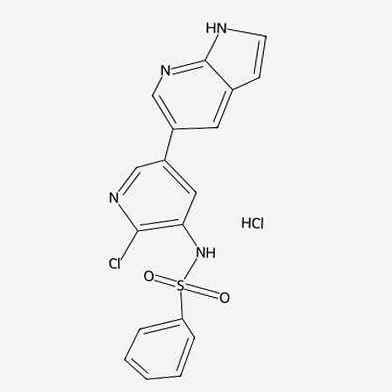 Cl.O=S(=O)(Nc1cc(-c2cnc3[nH]ccc3c2)cnc1Cl)c1ccccc1